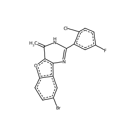 C=C1NC(c2cc(F)ccc2Cl)=Nc2c1oc1ccc(Br)cc21